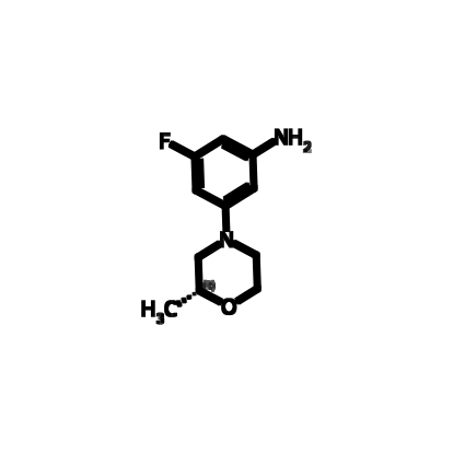 C[C@@H]1CN(c2cc(N)cc(F)c2)CCO1